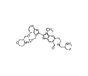 Cn1c(-c2cc3cccc(OC[C@@H]4COCCN4)c3n2CC2CC2)nc2cc3c(cc21)CCN(CC(N)CF)C3=O